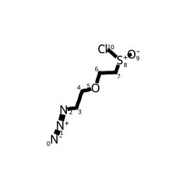 [N-]=[N+]=NCCOCC[S+]([O-])Cl